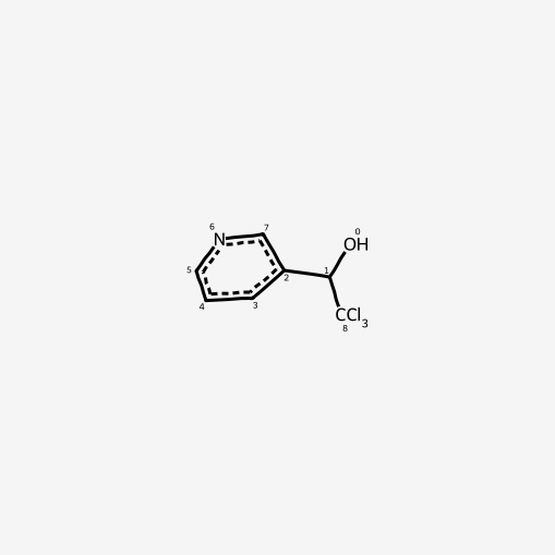 OC(c1cccnc1)C(Cl)(Cl)Cl